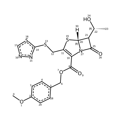 COc1ccc(COC(=O)C2=C(CSc3nncs3)S[C@@H]3C([C@@H](C)O)C(=O)N23)cc1